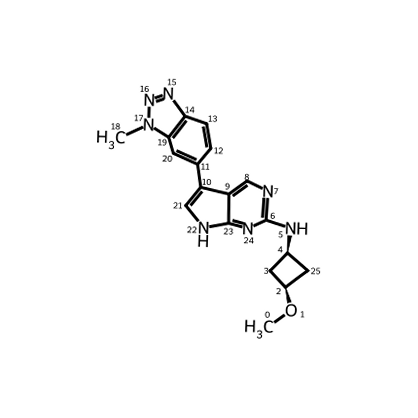 CO[C@H]1C[C@@H](Nc2ncc3c(-c4ccc5nnn(C)c5c4)c[nH]c3n2)C1